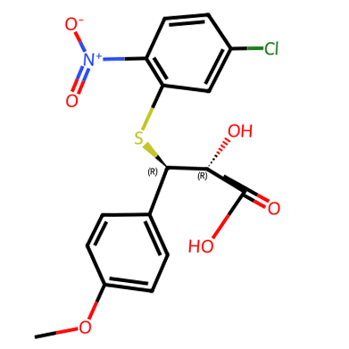 COc1ccc([C@@H](Sc2cc(Cl)ccc2[N+](=O)[O-])[C@H](O)C(=O)O)cc1